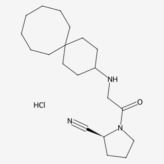 Cl.N#C[C@@H]1CCCN1C(=O)CNC1CCC2(CCCCCCC2)CC1